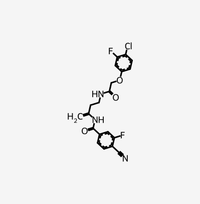 C=C(CCNC(=O)COc1ccc(Cl)c(F)c1)NC(=O)c1ccc(C#N)c(F)c1